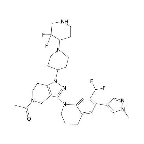 CC(=O)N1CCc2c(c(N3CCCc4cc(-c5cnn(C)c5)c(C(F)F)cc43)nn2C2CCN(C3CCNCC3(F)F)CC2)C1